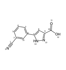 N#Cc1cccc(-c2cc(C(=O)O)n[nH]2)c1